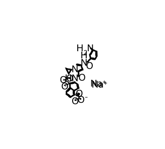 Nc1cccc(C(=O)Nc2cc(C(=O)Nc3ccc4c(S(=O)(=O)[O-])cccc4c3S(=O)(=O)[O-])n(C3CC3)c2)c1.[Na+].[Na+]